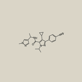 CC(NC(=O)c1c(C2CC2)c(-c2ccc(C#N)cc2)nn1C(C)C)c1cnn(C)c1